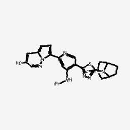 CC(=O)N1CC2CCC(C1)N2c1nnc(-c2cnc(-c3ccc4cc(C#N)cnn34)cc2NC(C)C)s1